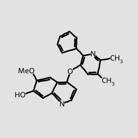 COc1cc2c(Oc3cc(C)c(C)nc3-c3ccccc3)ccnc2cc1O